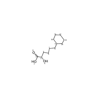 O=C(O)C(O)CCCCC1CCCCC1